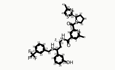 Cc1cc(C(=O)N[C@@H](C)CC(NCc2cccc(C(F)(F)F)c2)c2cccc(O)c2)cc(C(=O)N2CCC[C@@H]2c2nc(C)cs2)n1